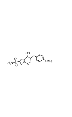 COc1ccc(CC2CSc3sc(S(N)(=O)=O)cc3C2O)cc1